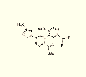 COC(=O)c1ccc(-c2ccn(C)n2)cc1-c1cc(C(F)F)ncc1OC